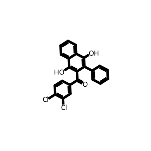 O=C(c1ccc(Cl)c(Cl)c1)c1c(-c2ccccc2)c(O)c2ccccc2c1O